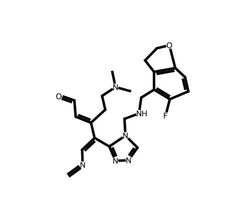 C=N/C=C(/C(=C/C=O)CCN(C)C)c1nncn1CNCc1c(F)ccc2c1CCO2